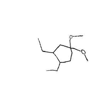 CCC1CC(OC)(OC)CC1CC